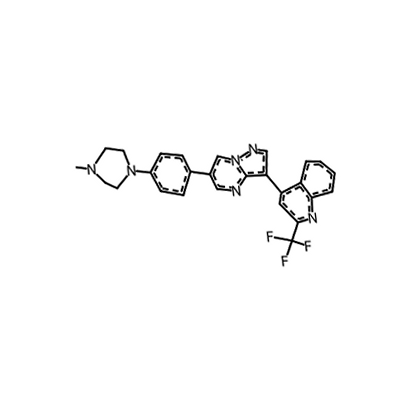 CN1CCN(c2ccc(-c3cnc4c(-c5cc(C(F)(F)F)nc6ccccc56)cnn4c3)cc2)CC1